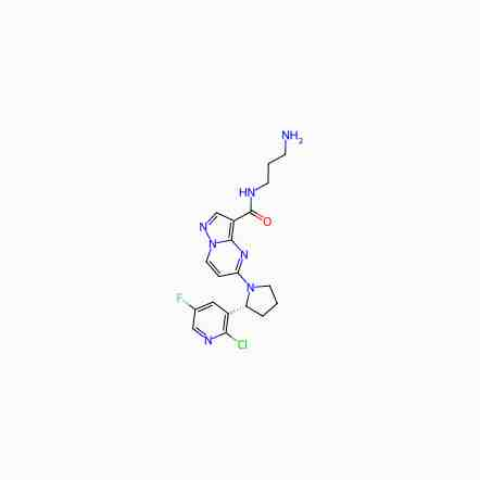 NCCCNC(=O)c1cnn2ccc(N3CCC[C@@H]3c3cc(F)cnc3Cl)nc12